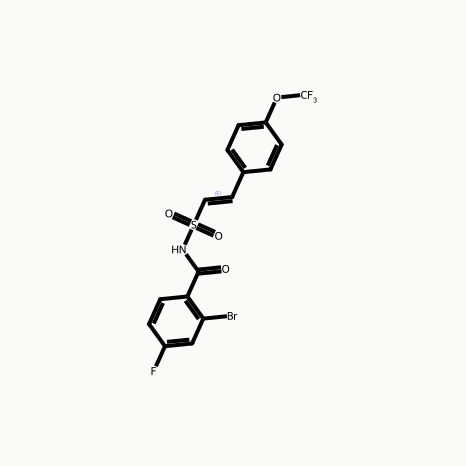 O=C(NS(=O)(=O)/C=C/c1ccc(OC(F)(F)F)cc1)c1ccc(F)cc1Br